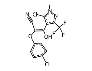 Cn1nc(C(F)(F)F)c(C(O)=C(C#N)Oc2ccc(Cl)cc2)c1Cl